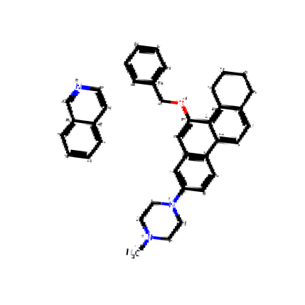 CN1CCN(c2ccc3c(c2)cc(OCc2ccccc2)c2c4c(ccc23)CCCC4)CC1.c1ccc2cnccc2c1